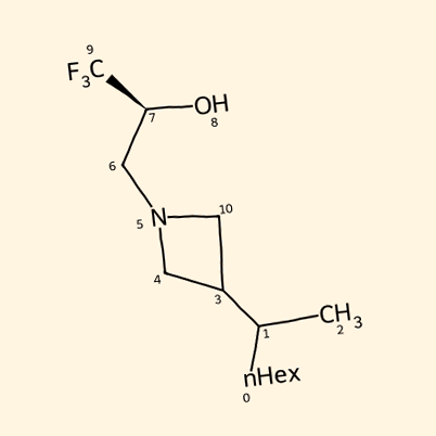 CCCCCCC(C)C1CN(C[C@H](O)C(F)(F)F)C1